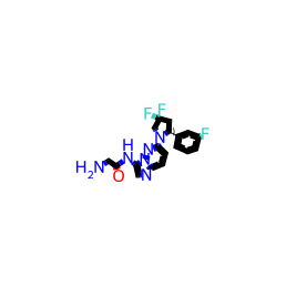 NCC(=O)Nc1cnc2ccc(N3CC(F)(F)C[C@@H]3c3cccc(F)c3)nn12